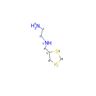 NCCNCC1CSCS1